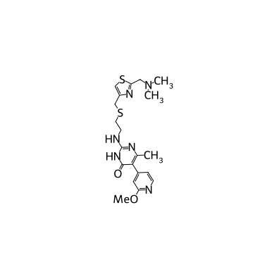 COc1cc(-c2c(C)nc(NCCSCc3csc(CN(C)C)n3)[nH]c2=O)ccn1